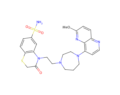 COc1ccc2nccc(N3CCCN(CCN4C(=O)CSc5ccc(S(N)(=O)=O)cc54)CC3)c2n1